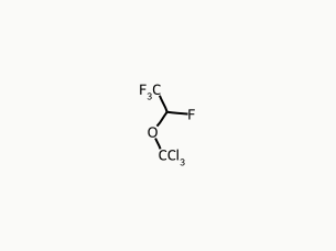 FC(OC(Cl)(Cl)Cl)C(F)(F)F